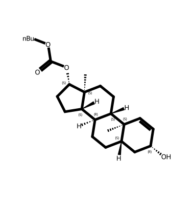 CCCCOC(=O)O[C@H]1CC[C@H]2[C@@H]3CC[C@H]4C[C@@H](O)C=C[C@]4(C)[C@H]3CC[C@]12C